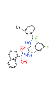 CCc1cccc(CNC[C@H](O)[C@H](Cc2cc(F)cc(F)c2)NC(=O)[C@@H](O)c2cccc3ccccc23)c1